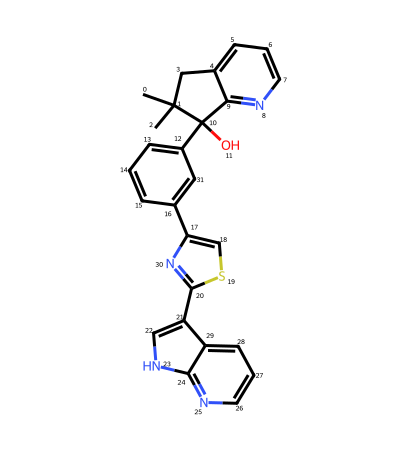 CC1(C)Cc2cccnc2C1(O)c1cccc(-c2csc(-c3c[nH]c4ncccc34)n2)c1